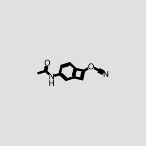 CC(=O)Nc1ccc2c(c1)C=C2OC#N